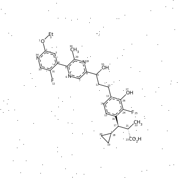 CCOc1cc(-c2ncc(C(O)CCc3ccc([C@H](C4CC4)[C@H](C)C(=O)O)c(F)c3O)nc2C)c(F)cn1